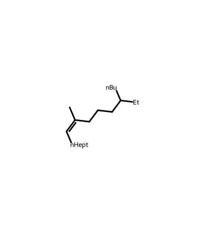 CCCCCCCC=C(C)CCCC(CC)CCCC